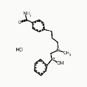 CN(CCCc1ccc(C(N)=O)cc1)C[C@@H](O)c1ccccc1.Cl